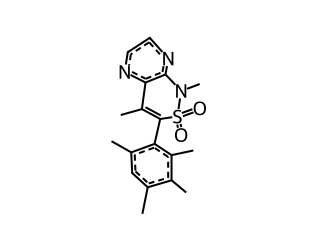 CC1=C(c2c(C)cc(C)c(C)c2C)S(=O)(=O)N(C)c2nccnc21